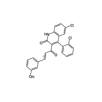 O=C(/C=C/c1cccc(O)c1)c1c(-c2ccccc2Cl)c2cc(Cl)ccc2[nH]c1=O